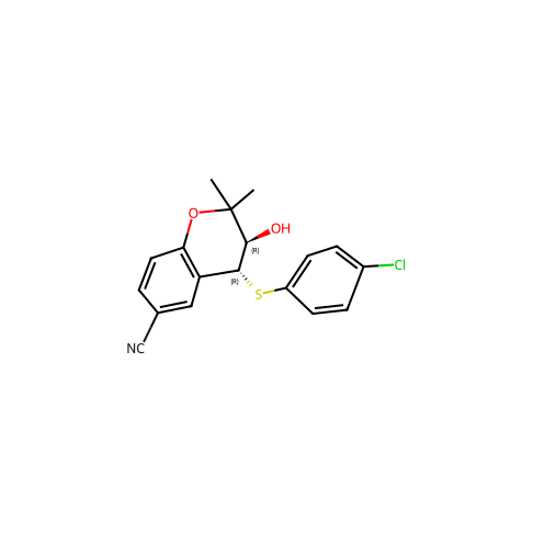 CC1(C)Oc2ccc(C#N)cc2[C@@H](Sc2ccc(Cl)cc2)[C@@H]1O